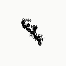 COc1ccc(CN2CCN(C3CC4(CCN(c5ccc(C(=O)NS(=O)(=O)c6cnc(NCC7(F)CCOCC7)c([NH+](C)[O-])c6)c(Oc6cnc7[nH]ccc7c6)c5)CC4)C3)[C@H](c3ccccc3C(C)C)C2)cc1